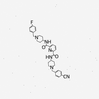 N#Cc1ccc(CN2CCC(NC(=O)c3cccc(C(=O)NC4CCN(Cc5ccc(F)cc5)CC4)n3)CC2)cc1